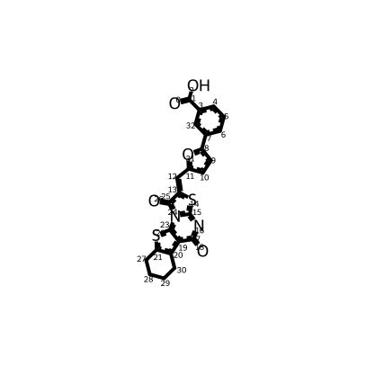 O=C(O)c1cccc(-c2ccc(/C=c3\sc4nc(=O)c5c6c(sc5n4c3=O)CCCC6)o2)c1